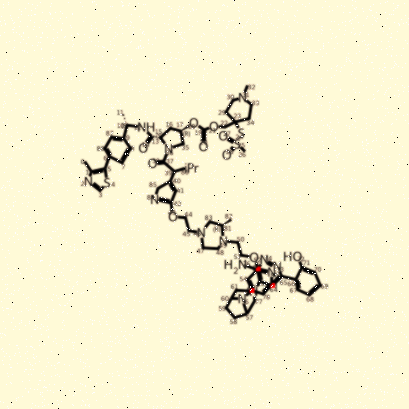 Cc1ncsc1-c1ccc([C@H](C)NC(=O)[C@@H]2C[C@@H](OC(=O)OCC3(SS(C)(=O)=O)CCN(C)CC3)CN2C(=O)C(C2=CC(OCCN3CCN(CCOc4cc(N5C6CCC5CN(c5cc(-c7ccccc7O)nnc5N)C6)ccn4)[C@H](C)C3)=NC2)C(C)C)cc1